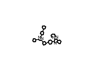 c1ccc(-c2ccc(-c3nc(-c4ccccc4)cc(-c4cccc(-c5ccc(-c6nc7ccccc7c7nc8ccccn8c67)cc5)c4)n3)cc2)cc1